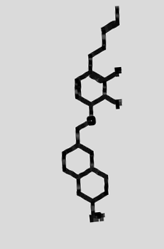 C/C=C/CCC1=C(F)C(F)C(OCC2CCC3CC(CCC)CCC3C2)C=C1